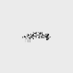 CCNC(=O)Nc1nc2cc(-c3ccc(CNS(C)(=O)=O)nc3)ccc2[nH]1